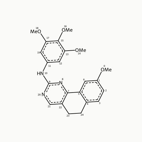 COc1ccc2c(c1)-c1nc(Nc3cc(OC)c(OC)c(OC)c3)ncc1CC2